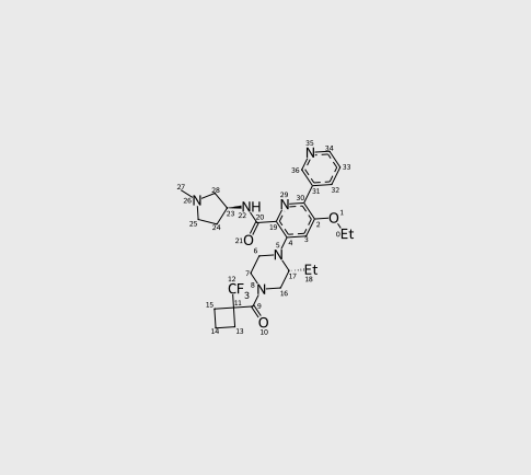 CCOc1cc(N2CCN(C(=O)C3(C(F)(F)F)CCC3)C[C@H]2CC)c(C(=O)N[C@H]2CCN(C)C2)nc1-c1cccnc1